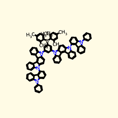 Cc1cc(C)c(B(c2cc(-n3c4ccccc4c4c5c6ccccc6n(-c6cccc7c6c6ccccc6n7-c6ccccc6)c5ccc43)cc(-n3c4ccccc4c4c5c6ccccc6n(-c6cccc7c6c6ccccc6n7-c6ccccc6)c5ccc43)c2)c2c(C)cc(C)cc2C)c(C)c1